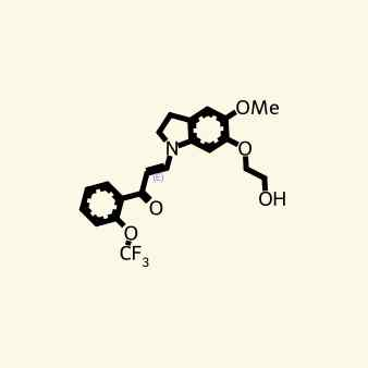 COc1cc2c(cc1OCCO)N(/C=C/C(=O)c1ccccc1OC(F)(F)F)CC2